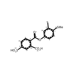 CSc1ccc(OC(=O)c2ccc(S(=O)(=O)O)cc2C(=O)O)cc1C